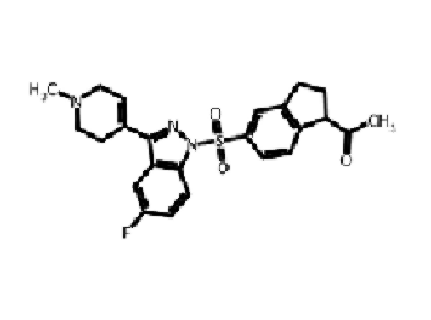 CC(=O)C1CCc2cc(S(=O)(=O)n3nc(C4=CCN(C)CC4)c4cc(F)ccc43)ccc21